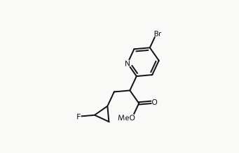 COC(=O)C(CC1CC1F)c1ccc(Br)cn1